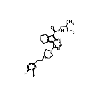 CC(C)CNC(=O)c1c2ncnn(N3CCN(CCc4ccc(F)c(F)c4)CC3)c-2c2c1CCCC2